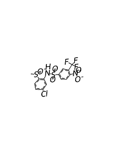 C[S+]([O-])c1ccc(Cl)cc1NS(=O)(=O)c1ccc([N+](=O)[O-])c(C(F)(F)F)c1